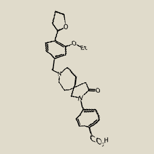 CCOc1cc(CN2CCC3(CC2)CC(=O)N(c2ccc(C(=O)O)cc2)C3)ccc1C1CCCO1